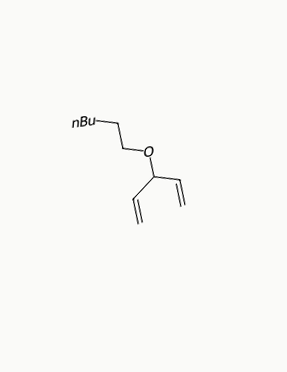 C=CC(C=C)OCCCCCC